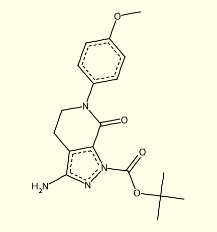 COc1ccc(N2CCc3c(N)nn(C(=O)OC(C)(C)C)c3C2=O)cc1